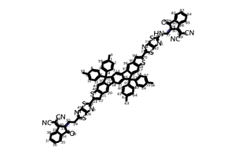 Cc1ccc(C2(c3ccc(C)cc3)c3cc4c(cc3-c3cc5cc(-c6nc7sc(C/C=C8\C(=O)c9ccccc9C8=C(C#N)C#N)nc7s6)sc5cc32)C(c2ccc(C)cc2)(c2ccc(C)cc2)c2cc3sc(-c5nc6sc(N/C=C7\C(=O)c8ccccc8C7=C(C#N)C#N)nc6s5)cc3cc2-4)cc1